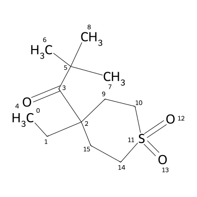 CCC1(C(=O)C(C)(C)C)CCS(=O)(=O)CC1